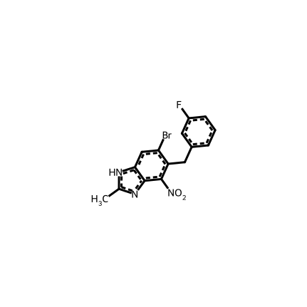 Cc1nc2c([N+](=O)[O-])c(Cc3cccc(F)c3)c(Br)cc2[nH]1